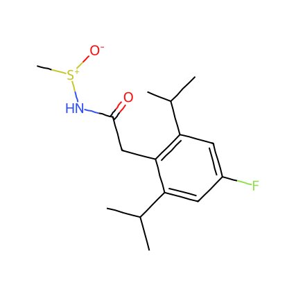 CC(C)c1cc(F)cc(C(C)C)c1CC(=O)N[S+](C)[O-]